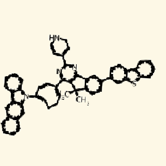 CC1(C)c2ccc(-c3ccc4c(c3)sc3ccccc34)cc2-c2nc(C3=CCNC=C3)nc(C3=C/CC/C=C(n4c5ccccc5c5cc6ccccc6cc54)/C=C\3)c21